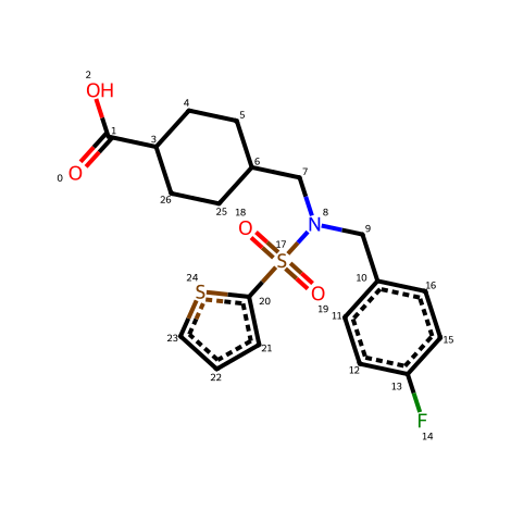 O=C(O)C1CCC(CN(Cc2ccc(F)cc2)S(=O)(=O)c2cccs2)CC1